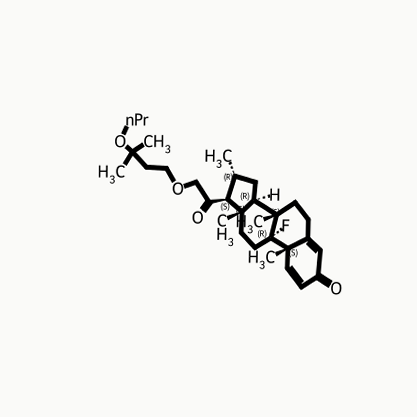 CCCOC(C)(C)CCOCC(=O)[C@H]1[C@H](C)C[C@@H]2[C@]1(C)CC[C@]1(F)[C@@]3(C)C=CC(=O)C=C3CC[C@@]21C